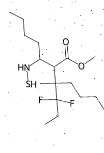 CCCCC(NS)C(C(=O)OC)C(C)(CCCC)C(F)(F)CC